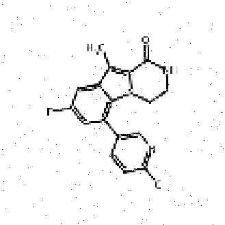 Cc1c2n(c3c(-c4ccc(Cl)nc4)cc(F)cc13)CCNC2=O